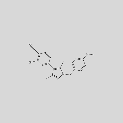 COc1ccc(Cn2nc(C)c(-c3ccc(C#N)c(Cl)c3)c2C)cc1